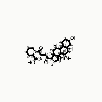 C[C@H](CCC(=O)N1CCCCC1C(=O)O)[C@H]1CC[C@H]2[C@@H]3[C@@H](O)C[C@@H]4C[C@H](O)CC[C@]4(C)[C@H]3CC[C@]12C